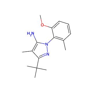 COc1cccc(C)c1-n1nc(C(C)(C)C)c(C)c1N